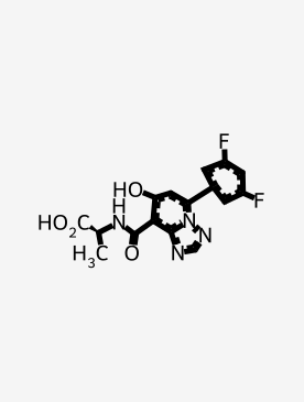 C[C@H](NC(=O)c1c(O)cc(-c2cc(F)cc(F)c2)n2ncnc12)C(=O)O